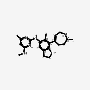 CNc1cc(C)nc(Nc2cc3c(c(C4=CCN[C@@H](C)CC4)c2C)OCC3)n1